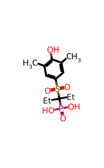 CCC(CC)(P(=O)(O)O)S(=O)(=O)c1cc(C)c(O)c(C)c1